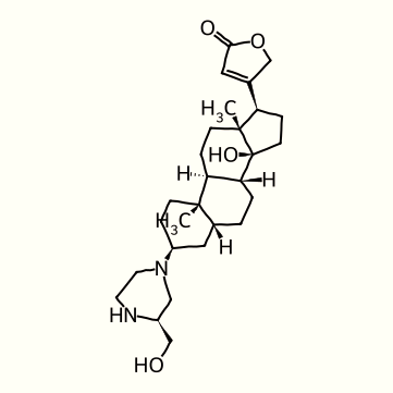 C[C@]12CC[C@H](N3CCN[C@H](CO)C3)C[C@H]1CC[C@@H]1[C@@H]2CC[C@]2(C)[C@@H](C3=CC(=O)OC3)CC[C@]12O